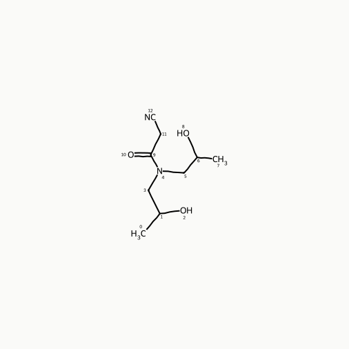 CC(O)CN(CC(C)O)C(=O)CC#N